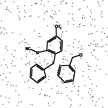 Cc1ccc(Cc2ccccc2)c(OC#N)c1.ClCc1ccccc1